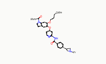 CNC(=O)n1ccc2cc(Oc3ccnc(NC(=O)c4ccc(C5CN(C(C)C)C5)cc4)c3)c(OCCCOC)cc21